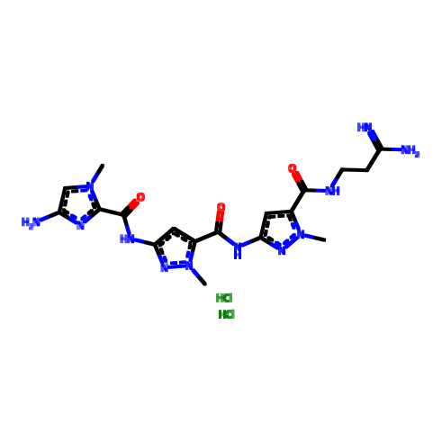 Cl.Cl.Cn1cc(N)nc1C(=O)Nc1cc(C(=O)Nc2cc(C(=O)NCCC(=N)N)n(C)n2)n(C)n1